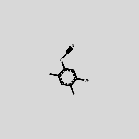 Cc1cc(C)c(OC#N)cc1O